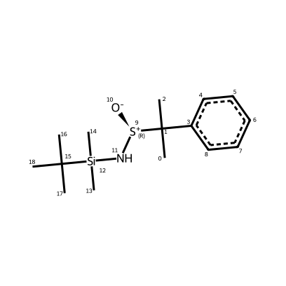 CC(C)(c1ccccc1)[S@+]([O-])N[Si](C)(C)C(C)(C)C